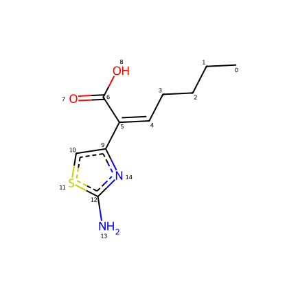 CCCC/C=C(\C(=O)O)c1csc(N)n1